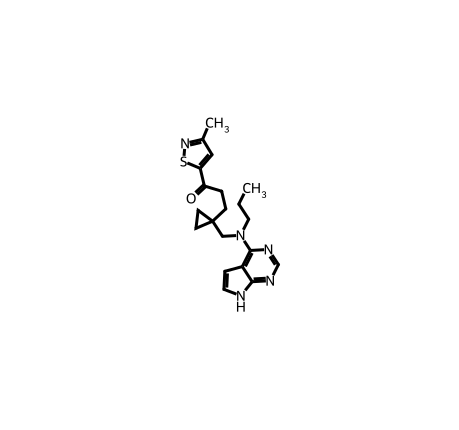 CCCN(CC1(CCC(=O)c2cc(C)ns2)CC1)c1ncnc2[nH]ccc12